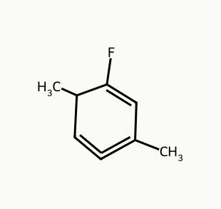 CC1=C=CC(C)C(F)=C1